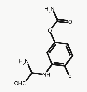 NC(=O)Oc1ccc(F)c(NC(N)C=O)c1